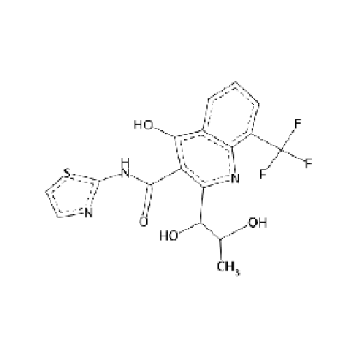 CC(O)C(O)c1nc2c(C(F)(F)F)cccc2c(O)c1C(=O)Nc1nccs1